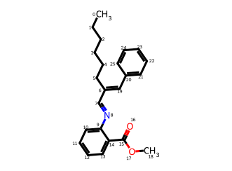 CCCCCCC(C=Nc1ccccc1C(=O)OC)=Cc1ccccc1